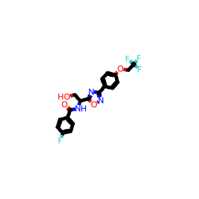 O=C(NC(CO)c1nc(-c2ccc(OCC(F)(F)F)cc2)no1)c1ccc(F)cc1